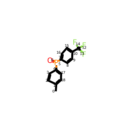 Cc1ccc([P](=O)c2ccc(C(F)(F)F)cc2)cc1